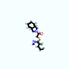 C=N/C(SCC(=O)N1Cc2ccccc2C1)=C(F)\C=C/C